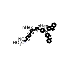 CCCCCCc1cc(-c2sc(-c3cc4sc(/C=C(\C#N)C(=O)O)cc4s3)cc2CCCCCC)sc1-c1ccc(N(c2ccc(-c3ccccc3C)c(C)c2)c2ccc3c(c2)C(C)(C)c2ccccc2-3)cc1